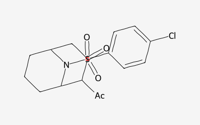 CC(=O)C1C(=O)CC2CCCC1N2S(=O)(=O)c1ccc(Cl)cc1